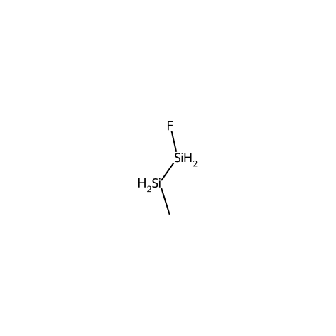 C[SiH2][SiH2]F